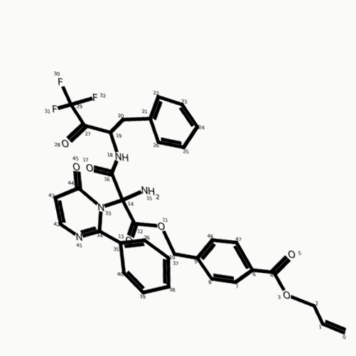 C=CCOC(=O)c1ccc(COC(=O)C(N)(C(=O)NC(Cc2ccccc2)C(=O)C(F)(F)F)n2c(-c3ccccc3)nccc2=O)cc1